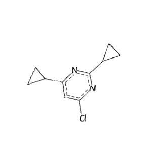 Clc1cc(C2CC2)nc(C2CC2)n1